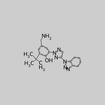 CC(C)(C)c1cc(CN)cc(-n2ncc(-n3nnc4ccccc43)n2)c1O